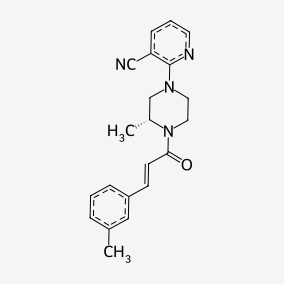 Cc1cccc(/C=C/C(=O)N2CCN(c3ncccc3C#N)C[C@H]2C)c1